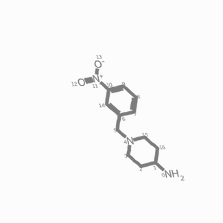 NC1CCN(Cc2cccc([N+](=O)[O-])c2)CC1